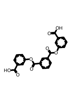 O=C(O)c1cccc(OC(=O)c2cccc(C(=O)Oc3cccc(C(=O)O)c3)c2)c1